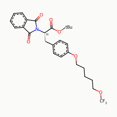 CC(C)(C)OC(=O)[C@H](Cc1ccc(OCCCCCOC(F)(F)F)cc1)N1C(=O)c2ccccc2C1=O